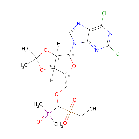 CCS(=O)(=O)C(OC[C@H]1O[C@@H](n2cnc3c(Cl)nc(Cl)nc32)[C@@H]2OC(C)(C)O[C@@H]21)P(C)(C)=O